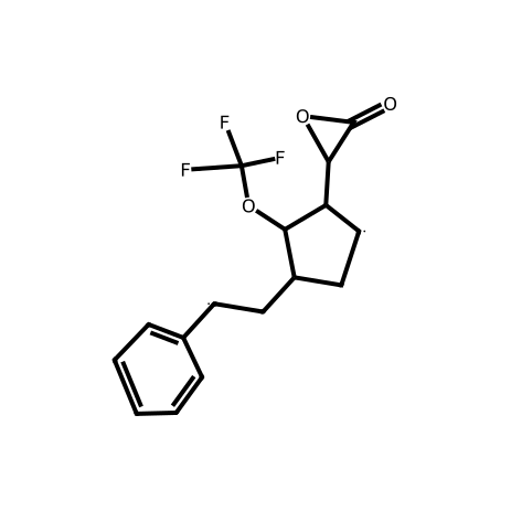 O=C1OC1C1[CH]CC(C[CH]c2ccccc2)C1OC(F)(F)F